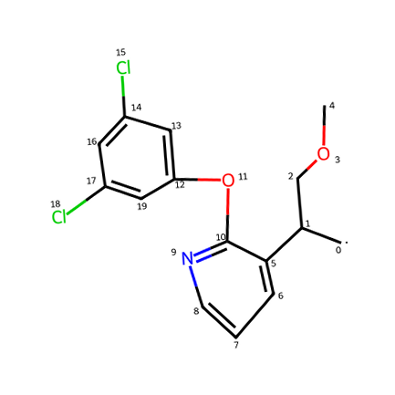 [CH2]C(COC)c1cccnc1Oc1cc(Cl)cc(Cl)c1